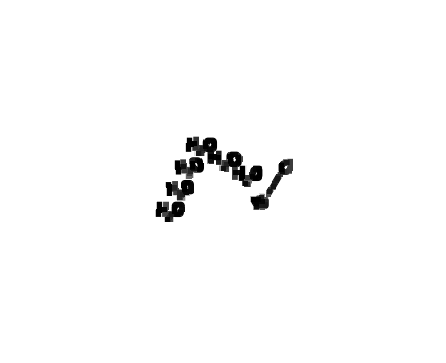 O.O.O.O.O.O.[Cl][Yb]